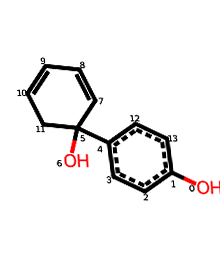 Oc1ccc(C2(O)C=CC=CC2)cc1